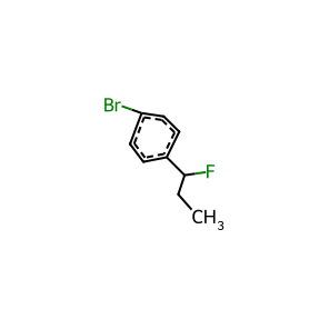 CCC(F)c1ccc(Br)cc1